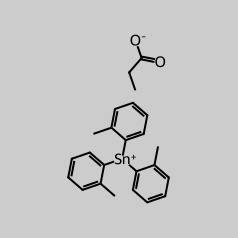 CCC(=O)[O-].Cc1cccc[c]1[Sn+]([c]1ccccc1C)[c]1ccccc1C